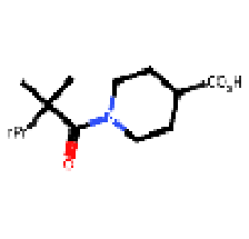 CCCC(C)(C)C(=O)N1CCC(C(=O)O)CC1